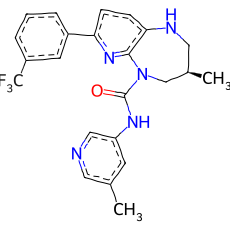 Cc1cncc(NC(=O)N2C[C@H](C)CNc3ccc(-c4cccc(C(F)(F)F)c4)nc32)c1